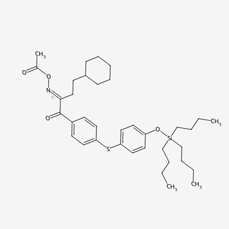 CCCC[Si](CCCC)(CCCC)Oc1ccc(Sc2ccc(C(=O)/C(CCC3CCCCC3)=N/OC(C)=O)cc2)cc1